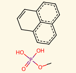 C1=Cc2cccc3cccc(c23)C1.COP(=O)(O)O